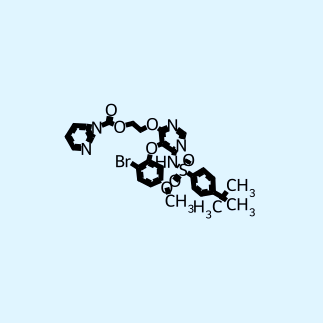 COc1ccc(Br)c(Oc2c(NS(=O)(=O)c3ccc(C(C)(C)C)cc3)ncnc2OCCOC(=O)N2c3cccnc32)c1